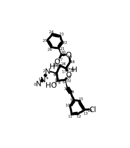 [N-]=[N+]=N[C@@H]1[C@@H](O)[C@H](C#Cc2cccc(Cl)c2)O[C@@H]2CO[C@H](c3ccccc3)O[C@H]12